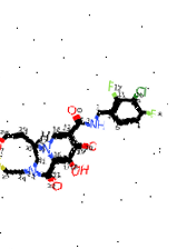 O=C(NCc1ccc(F)c(Cl)c1F)c1cn2c(c(O)c1=O)C(=O)N1CCSOCC[C@H]2C1